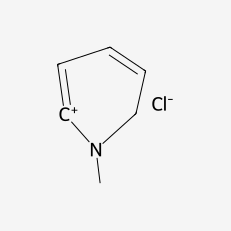 CN1[C+]=CC=CC1.[Cl-]